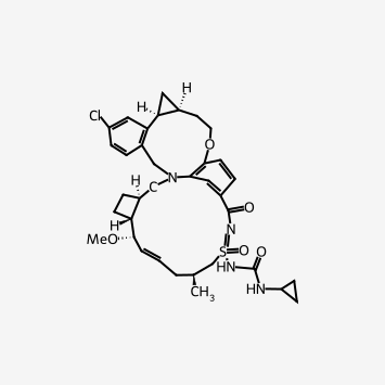 CO[C@H]1/C=C/C[C@H](C)C[S@@](=O)(NC(=O)NC2CC2)=NC(=O)c2ccc3c(c2)N(Cc2ccc(Cl)cc2[C@H]2C[C@H]2CCO3)C[C@@H]2CC[C@H]21